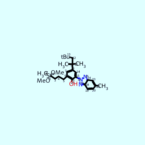 CO[Si](C)(CCCc1cc(C(C)(C)CC(C)(C)C)cc(-n2nc3ccc(C)cc3n2)c1O)OC